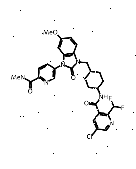 CNC(=O)c1ccc(-n2c(=O)n(CC3CCC(NC(=O)c4cc(Cl)cnc4C(F)F)CC3)c3ccc(OC)cc32)cn1